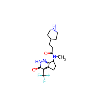 CN(C(=O)CCC1CCNCC1)C1CCc2c1n[nH]c(=O)c2C(F)(F)F